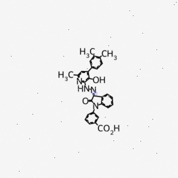 Cc1cc(-c2ccc(C)c(C)c2)c(O)c(N/N=C2\C(=O)N(c3cccc(C(=O)O)c3)c3ccccc32)n1